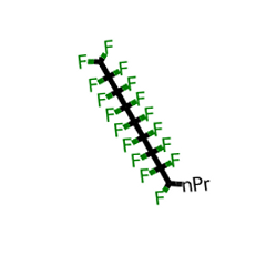 CCCC(F)C(F)(F)C(F)(F)C(F)(F)C(F)(F)C(F)(F)C(F)(F)C(F)(F)[C](F)F